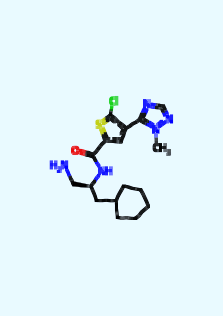 Cn1ncnc1-c1cc(C(=O)N[C@H](CN)CC2CCCCC2)sc1Cl